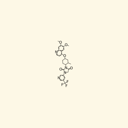 COc1cc2nccc(OC3CCC(N4C(=O)CN(c5cncc(C(F)(F)F)c5)C4=O)C(C)C3)c2cc1OC